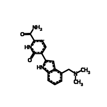 CN(C)Cc1cccc2[nH]c(-c3c[c]c(C(N)=O)[nH]c3=O)cc12